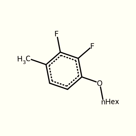 CCCCCCOc1ccc(C)c(F)c1F